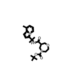 Cc1cccn2c(C(C)(C)NC(=O)C3COCCN(C(=O)OC(C)(C)C)C3)ccc12